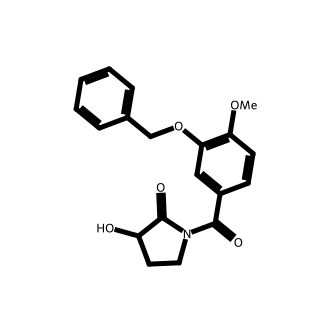 COc1ccc(C(=O)N2CCC(O)C2=O)cc1OCc1ccccc1